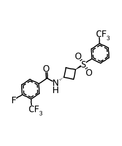 O=C(N[C@H]1C[C@H](S(=O)(=O)c2cccc(C(F)(F)F)c2)C1)c1ccc(F)c(C(F)(F)F)c1